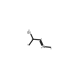 CCC(C)/C=N/C